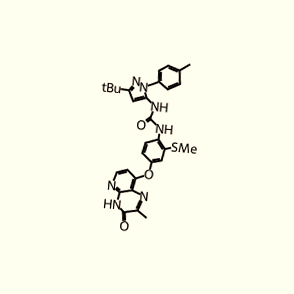 CSc1cc(Oc2ccnc3[nH]c(=O)c(C)nc23)ccc1NC(=O)Nc1cc(C(C)(C)C)nn1-c1ccc(C)cc1